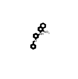 O=[N+]([O-])c1c(Nc2cccc(OCc3ccccc3)c2)ccc2c1CCCC2